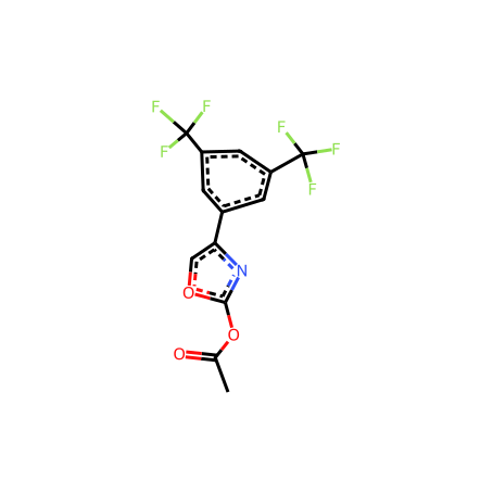 CC(=O)Oc1nc(-c2cc(C(F)(F)F)cc(C(F)(F)F)c2)co1